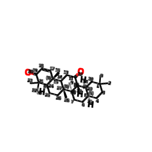 CC1(C)CC[C@H]2CC[C@]3(C)[C@H](C(=O)CC4[C@@]5(C)C=CC(=O)C(C)(C)[C@@H]5CC[C@]43C)[C@H]2C1